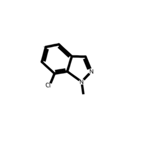 Cn1ncc2c[c]cc(Cl)c21